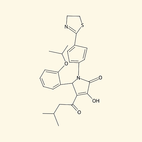 CC(C)CC(=O)C1=C(O)C(=O)N(c2ccc(C3=NCCS3)cc2)C1c1ccccc1OC(C)C